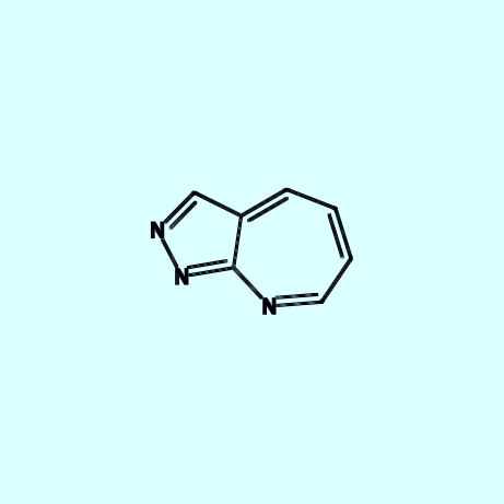 c1ccc2cnnc-2nc1